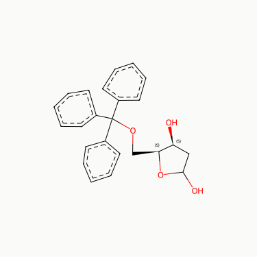 OC1C[C@H](O)[C@H](COC(c2ccccc2)(c2ccccc2)c2ccccc2)O1